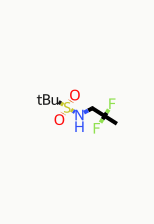 CC(F)(F)CNS(=O)(=O)C(C)(C)C